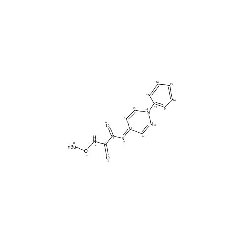 CCCCONC(=O)C(=O)/N=c1\ccn(-c2ccccc2)nc1